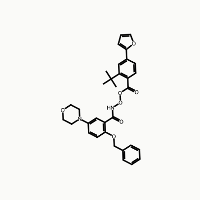 CC(C)(C)c1cc(-c2ccco2)ccc1C(=O)OONC(=O)c1cc(N2CCOCC2)ccc1OCc1ccccc1